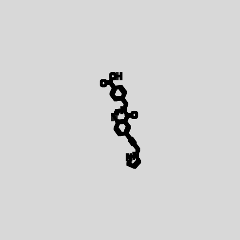 O=C(O)c1ccc(Cn2cnc3ccc(C#CCn4cccn4)cc3c2=O)cc1